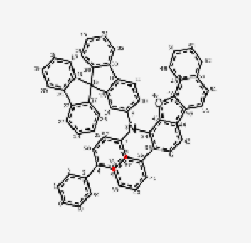 c1ccc(-c2ccc(N(c3ccc4c(c3)C3(c5ccccc5-c5ccccc53)c3ccccc3-4)c3c(-c4ccccc4)ccc4c3oc3c5ccccc5ccc43)cc2)cc1